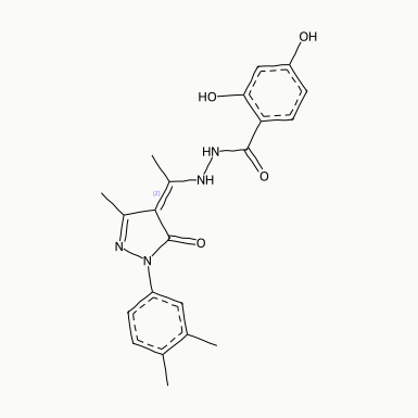 CC1=NN(c2ccc(C)c(C)c2)C(=O)/C1=C(/C)NNC(=O)c1ccc(O)cc1O